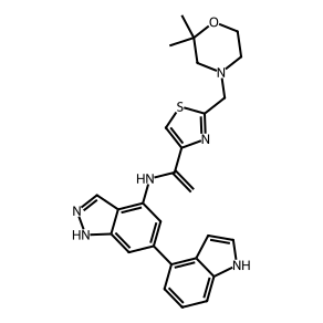 C=C(Nc1cc(-c2cccc3[nH]ccc23)cc2[nH]ncc12)c1csc(CN2CCOC(C)(C)C2)n1